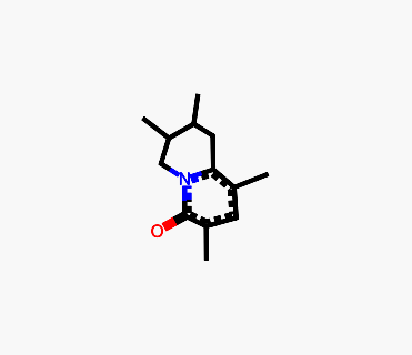 Cc1cc(C)c(=O)n2c1CC(C)C(C)C2